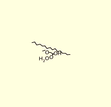 CCCCCCCCCCCCCCCC.CCOCC(=O)O.O